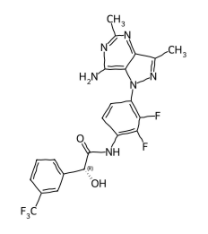 Cc1nc(N)c2c(n1)c(C)nn2-c1ccc(NC(=O)[C@H](O)c2cccc(C(F)(F)F)c2)c(F)c1F